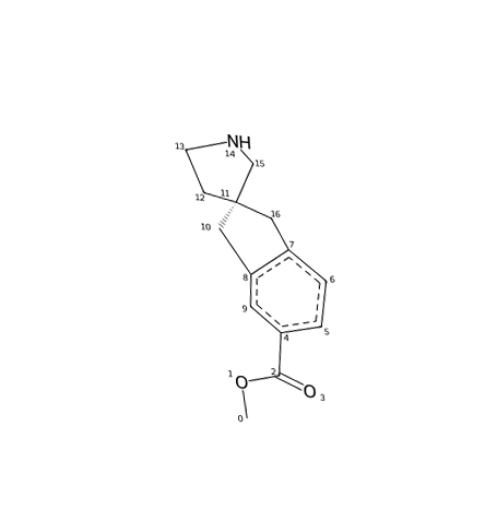 COC(=O)c1ccc2c(c1)C[C@@]1(CCNC1)C2